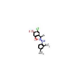 CC/C(=N\Nc1ccc([N+](=O)[O-])cc1[N+](=O)[O-])c1cc(Cl)c(O)cc1O